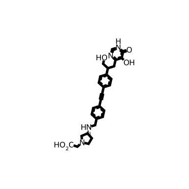 O=C(O)CN1CC[C@@H](NCc2ccc(C#Cc3ccc(C(CO)Cc4nc[nH]c(=O)c4O)cc3)cc2)C1